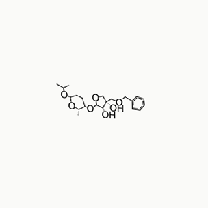 CC(C)O[C@H]1CC[C@@H](O[C@H]2OC[C@@](O)(COCc3ccccc3)[C@@H]2O)[C@H](C)O1